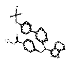 COC(=O)c1ccc(CC(c2cccc(-c3ccc(OC(F)(F)F)cc3)c2)c2n[nH]c3ccccc23)cc1